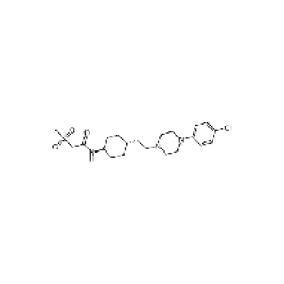 CS(=O)(=O)CC(=O)N[C@H]1CC[C@H](CCN2CCN(c3ccc(Cl)cc3)CC2)CC1